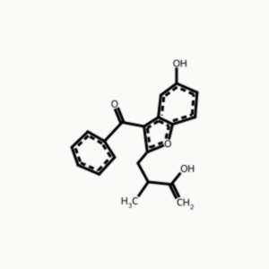 C=C(O)C(C)Cc1oc2ccc(O)cc2c1C(=O)c1ccccc1